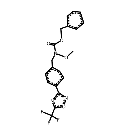 CON(Cc1ccc(-c2noc(C(F)(F)F)n2)cc1)C(=O)OCc1ccccc1